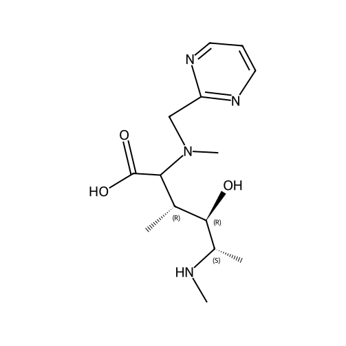 CN[C@@H](C)[C@H](O)[C@H](C)C(C(=O)O)N(C)Cc1ncccn1